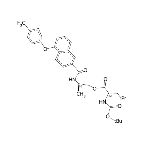 CC(C)C[C@H](NC(=O)OC(C)(C)C)C(=O)OC[C@@H](C)NC(=O)c1ccc2c(Oc3ccc(C(F)(F)F)cc3)cccc2c1